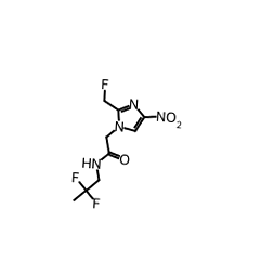 CC(F)(F)CNC(=O)Cn1cc([N+](=O)[O-])nc1CF